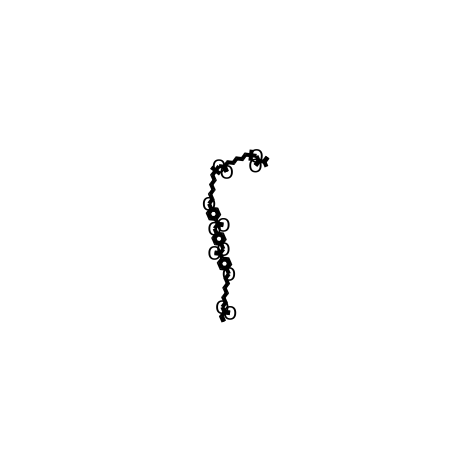 C=CC(=O)OCCCCCCOc1ccc(C(=O)Oc2ccc(OC(=O)c3ccc(OCCCCCCC(C)(C)OC(=O)CCCCCC(C)(C)OC(=O)C(=C)C)cc3)cc2)cc1